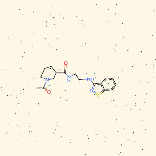 CC(=O)N1CCCC(C(=O)NCCNc2nsc3ccccc23)C1